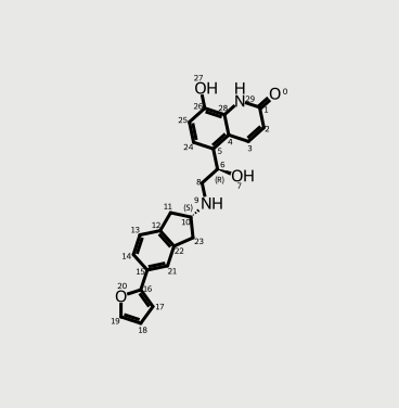 O=c1ccc2c([C@@H](O)CN[C@H]3Cc4ccc(-c5ccco5)cc4C3)ccc(O)c2[nH]1